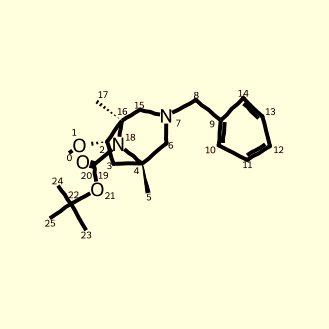 CO[C@H]1C[C@@]2(C)CN(Cc3ccccc3)C[C@@]1(C)N2C(=O)OC(C)(C)C